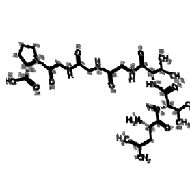 CC(C)C[C@H](N)C(=O)N[C@H](C(=O)N[C@H](C(=O)NCC(=O)NCC(=O)NCC(=O)N1CCC[C@H]1C(=O)O)C(C)C)C(C)C